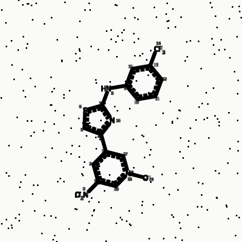 O=[N+]([O-])c1cc(-c2csc(Nc3cccc(C(F)(F)F)c3)n2)c[n+]([O-])c1